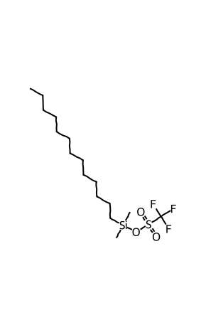 CCCCCCCCCCCCC[Si](C)(C)OS(=O)(=O)C(F)(F)F